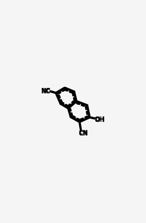 N#Cc1ccc2cc(O)c(C#N)cc2c1